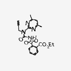 C#CCN(C(=O)NS(=O)(=O)c1ccccc1C(=O)OCC)c1nc(C)cc(C)n1